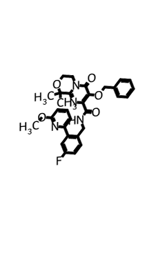 COc1cccc(-c2cc(F)ccc2CNC(=O)c2nc3n(c(=O)c2OCc2ccccc2)CCOC3(C)C)n1